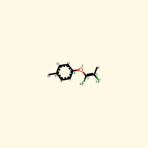 C/C(F)=C(/F)Oc1ccc(C)cc1